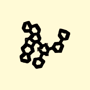 c1ccc(-c2cccc(-c3nc(-c4ccccc4)nc(-c4cc5ccc6ccccc6c5c5oc6cc7ccccc7cc6c45)n3)c2)cc1